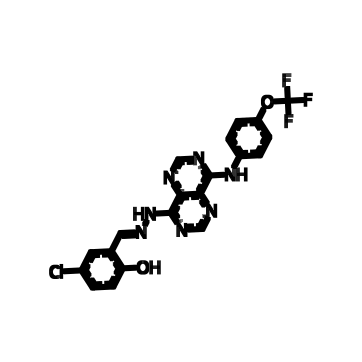 Oc1ccc(Cl)cc1C=NNc1ncnc2c(Nc3ccc(OC(F)(F)F)cc3)ncnc12